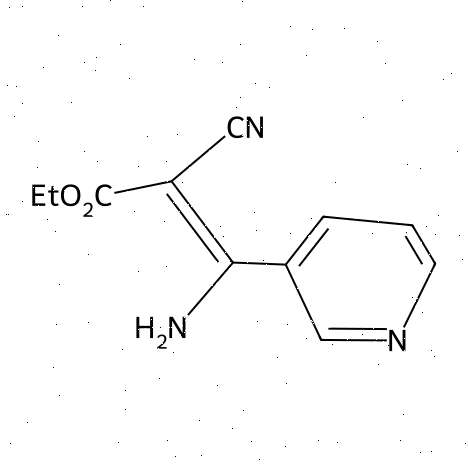 CCOC(=O)C(C#N)=C(N)c1cccnc1